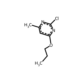 CCCOc1cc(C)nc(Cl)n1